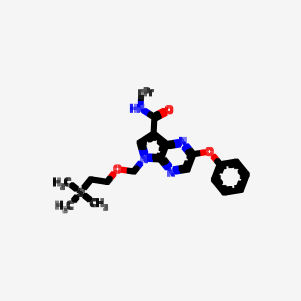 CCCNC(=O)c1cn(COCC[Si](C)(C)C)c2ncc(Oc3ccccc3)nc12